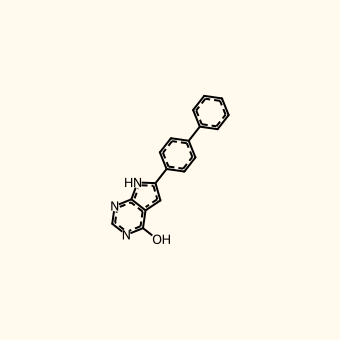 Oc1ncnc2[nH]c(-c3ccc(-c4ccccc4)cc3)cc12